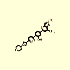 Cc1cc(-c2ccc(-c3ccc(C4CN(C5CCOCC5)C4)nn3)c(O)c2)nc2cn(C)nc12